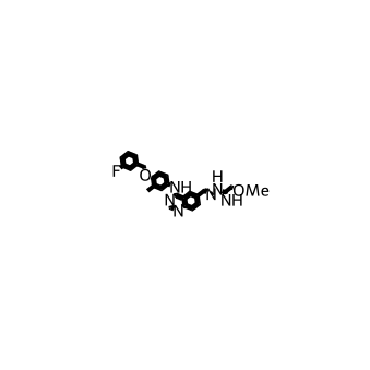 COCC(=N)N/N=C/c1ccc2ncnc(Nc3ccc(OCc4cccc(F)c4)c(C)c3)c2c1